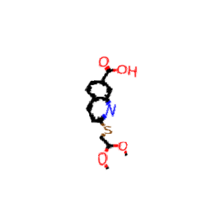 COC(CSc1ccc2ccc(C(=O)O)cc2n1)OC